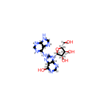 Nc1ncnc2[nH]cnc12.OC[C@H]1O[C@@H](n2cnc3c(O)ncnc32)[C@H](O)[C@@H]1O